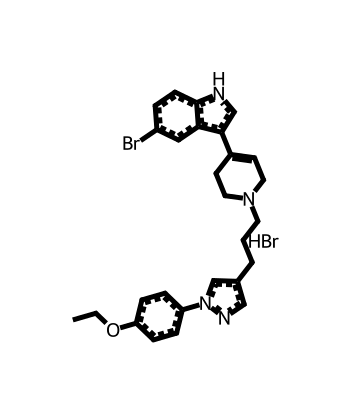 Br.CCOc1ccc(-n2cc(CCCN3CC=C(c4c[nH]c5ccc(Br)cc45)CC3)cn2)cc1